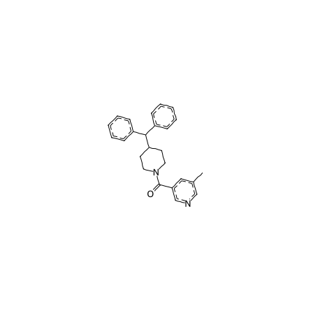 Cc1cncc(C(=O)N2CCC(C(c3ccccc3)c3ccccc3)CC2)c1